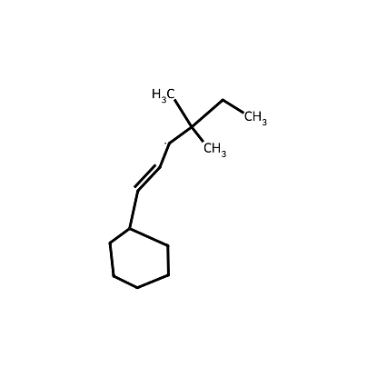 CCC(C)(C)[CH]/C=C/C1CCCCC1